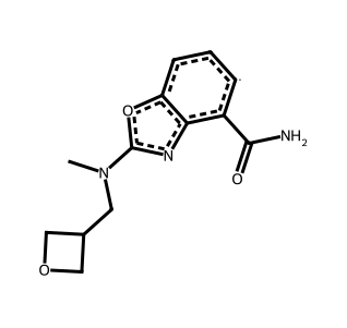 CN(CC1COC1)c1nc2c(C(N)=O)[c]ccc2o1